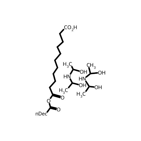 CC(O)NC(C)O.CC(O)NC(C)O.CCCCCCCCCCC(=O)OC(=O)CCCCCCCCCC(=O)O